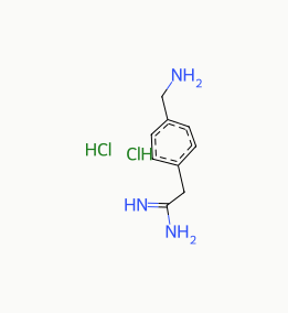 Cl.Cl.N=C(N)Cc1ccc(CN)cc1